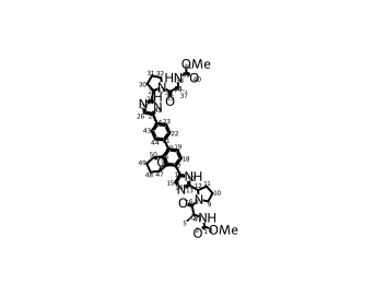 COC(=O)N[C@@H](C)C(=O)N1CCCC1c1ncc(-c2ccc(-c3ccc(-c4cnc(C5CCCN5C(=O)[C@@H](C)NC(=O)OC)[nH]4)cc3)c3c2C2CCC3O2)[nH]1